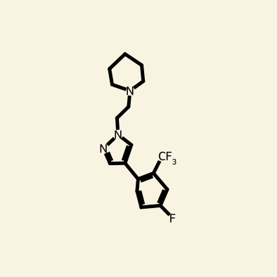 Fc1ccc(-c2cnn(CCN3CCCCC3)c2)c(C(F)(F)F)c1